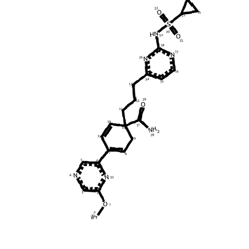 CC(C)Oc1cncc(C2=CCC(CCCc3ccnc(NS(=O)(=O)C4CC4)n3)(C(N)=O)C=C2)n1